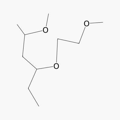 CCC(CC(C)OC)OCCOC